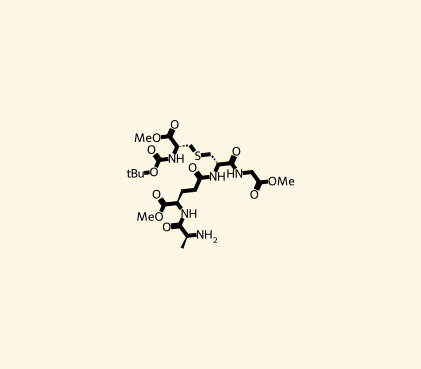 COC(=O)CNC(=O)[C@@H](CSC[C@H](NC(=O)OC(C)(C)C)C(=O)OC)NC(=O)CC[C@@H](NC(=O)[C@H](C)N)C(=O)OC